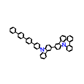 c1ccc(-c2ccc(-c3ccc(-c4ccc(-n5c6ccccc6c6cc(-c7ccc8c(c7)c7ccccc7n8-c7ccccc7-c7ccccc7)ccc65)cc4)cc3)cc2)cc1